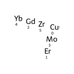 [Cu].[Er].[Gd].[Mo].[Yb].[Zr]